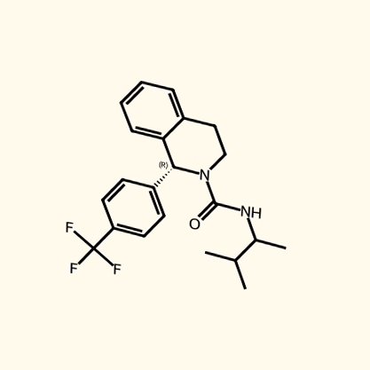 CC(C)C(C)NC(=O)N1CCc2ccccc2[C@H]1c1ccc(C(F)(F)F)cc1